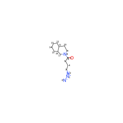 [N-]=[N+]=NCCCC(=O)N1CCC2CCCCC2C1